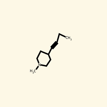 CCC#CC1CCN(C)CC1